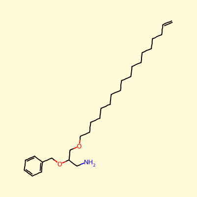 C=CCCCCCCCCCCCCCCCCOCC(CN)OCc1ccccc1